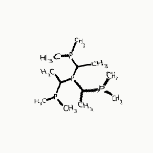 CC(P(C)C)P(C(C)P(C)C)C(C)P(C)C